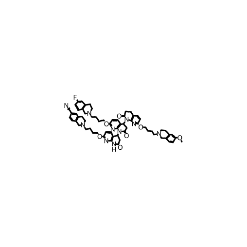 COc1ccc2c(c1)CCN(CCCCOc1ccc3c(n1)N(C1CC(=O)N(C4CC(=O)Nc5nc(OCCCCN6CCc7cc(C#N)ccc7C6)ccc54)c4nc(OCCCCN5CCc6cc(F)ccc6C5)ccc41)C(=O)CC3)C2